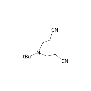 CC(C)(C)N(CCC#N)CCC#N